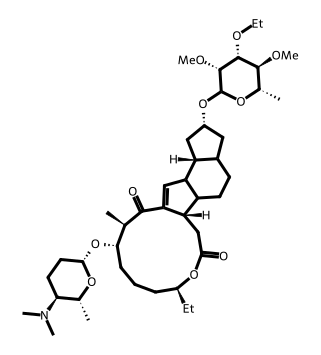 CCO[C@@H]1[C@@H](OC)[C@H](C)OC(O[C@@H]2CC3CCC4C(C=C5C(=O)[C@H](C)[C@@H](O[C@H]6CC[C@H](N(C)C)[C@@H](C)O6)CCC[C@H](CC)OC(=O)C[C@H]54)[C@@H]3C2)[C@@H]1OC